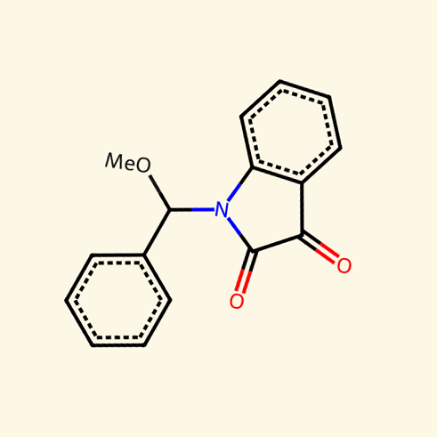 COC(c1ccccc1)N1C(=O)C(=O)c2ccccc21